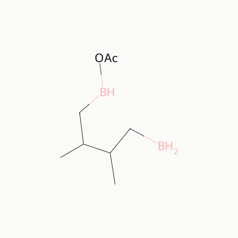 BCC(C)C(C)CBOC(C)=O